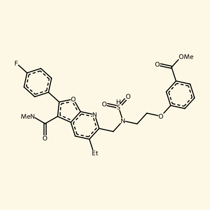 CCc1cc2c(C(=O)NC)c(-c3ccc(F)cc3)oc2nc1CN(CCOc1cccc(C(=O)OC)c1)[SH](=O)=O